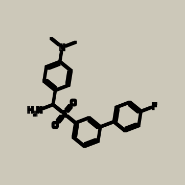 CN(C)c1ccc(C(N)S(=O)(=O)c2cccc(-c3ccc(F)cc3)c2)cc1